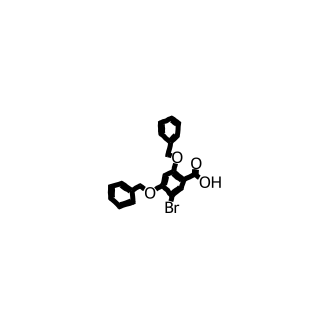 O=C(O)c1cc(Br)c(OCc2ccccc2)cc1OCc1ccccc1